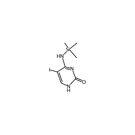 C[Si](C)(C)Nc1nc(=O)[nH]cc1I